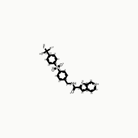 O=C(NCc1ccc(S(=O)(=O)c2ccc(C(F)(F)F)cc2)cc1)c1cc2ccncc2s1